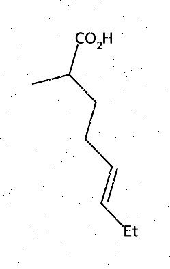 CCC=CCCC(C)C(=O)O